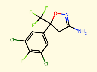 NC1=NOC(c2cc(Cl)c(F)c(Cl)c2)(C(F)(F)F)C1